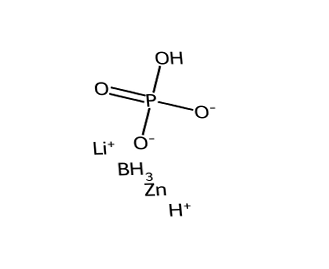 B.O=P([O-])([O-])O.[H+].[Li+].[Zn]